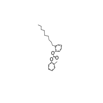 CCCCCCCCCc1ccccc1OC(=O)Oc1ccccc1C